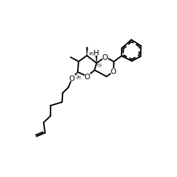 C=CCCCCCCO[C@@H]1OC2COC(c3ccccc3)O[C@H]2[C@H](C)C1C